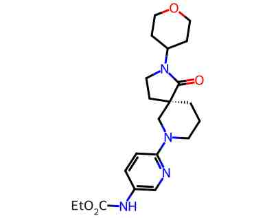 CCOC(=O)Nc1ccc(N2CCC[C@@]3(CCN(C4CCOCC4)C3=O)C2)nc1